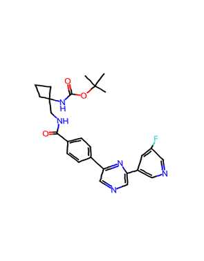 CC(C)(C)OC(=O)NC1(CNC(=O)c2ccc(-c3cncc(-c4cncc(F)c4)n3)cc2)CCC1